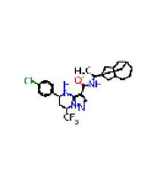 CC(NC(=O)c1cnn2c1NC(c1ccc(Cl)cc1)CC2C(F)(F)F)C12CC3CCCC(C1)C(C3)C2